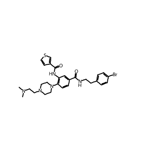 CN(C)CCN1CCN(c2ccc(C(=O)NCCc3ccc(Br)cc3)cc2NC(=O)c2ccsc2)CC1